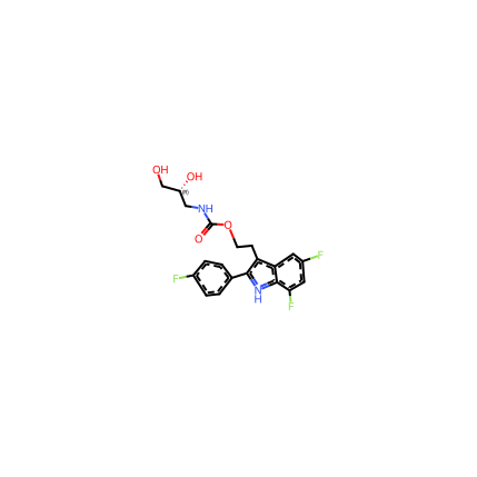 O=C(NC[C@@H](O)CO)OCCc1c(-c2ccc(F)cc2)[nH]c2c(F)cc(F)cc12